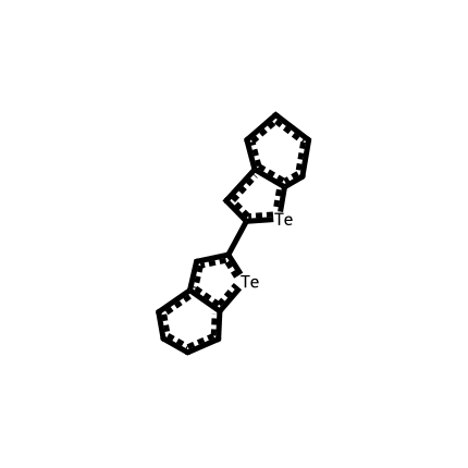 c1ccc2[te]c(-c3cc4ccccc4[te]3)cc2c1